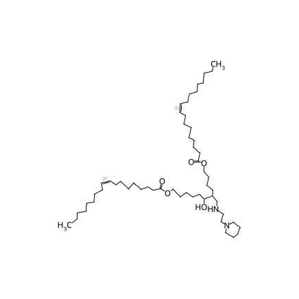 CCCCCCCC/C=C\CCCCCCCC(=O)OCCCCCC(O)C(CCCCOC(=O)CCCCCCC/C=C\CCCCCCCC)CNCCN1CCCCC1